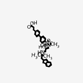 Cc1cc(-c2ccc(CCC(=O)O)cc2)ccc1S(=O)(=O)N(C)CC(O)CNC(C)(C)CC1Cc2ccccc2C1